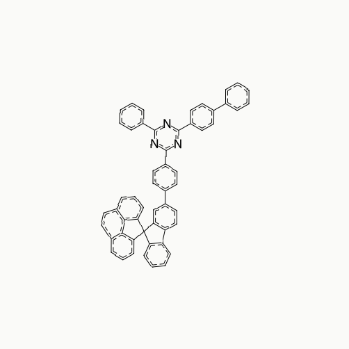 c1ccc(-c2ccc(-c3nc(-c4ccccc4)nc(-c4ccc(-c5ccc6c(c5)C5(c7ccccc7-6)c6cccc7ccc8cccc5c8c67)cc4)n3)cc2)cc1